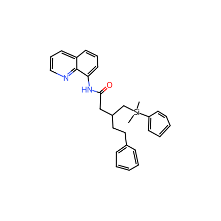 C[Si](C)(CC(CCc1ccccc1)CC(=O)Nc1cccc2cccnc12)c1ccccc1